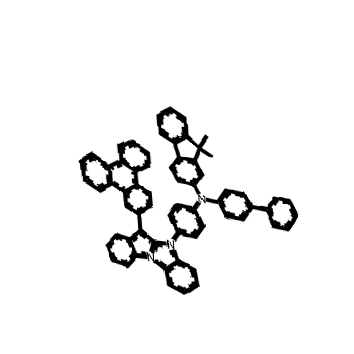 CC1(C)c2ccccc2-c2ccc(N(c3ccc(-c4ccccc4)cc3)c3ccc(-n4c5ccccc5n5c6ccccc6c(-c6ccc7c8ccccc8c8ccccc8c7c6)c45)cc3)cc21